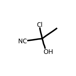 CC(O)(Cl)C#N